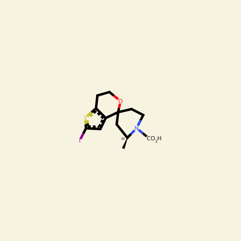 C[C@H]1CC2(CCN1C(=O)O)OCCc1sc(I)cc12